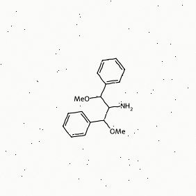 COC(c1ccccc1)C(N)C(OC)c1ccccc1